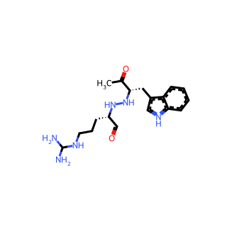 CC(=O)[C@H](Cc1c[nH]c2ccccc12)NN[C@H](C=O)CCCNC(N)N